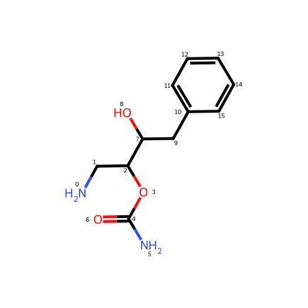 NCC(OC(N)=O)C(O)Cc1ccccc1